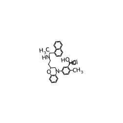 Cc1ccc(N2CC(CCN[C@H](C)c3cccc4ccccc34)Oc3ccccc32)cc1C(=O)O.Cl